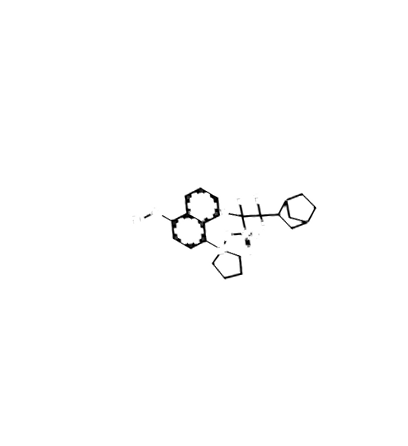 CCOc1ccc(S2(OS(=O)(=O)C(F)(F)C(F)(F)C3CC4CCC3C4)CCCC2)c2ccccc12